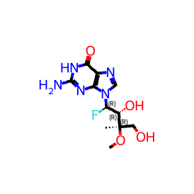 CO[C@](C)(CO)[C@@H](O)[C@@H](F)n1cnc2c(=O)[nH]c(N)nc21